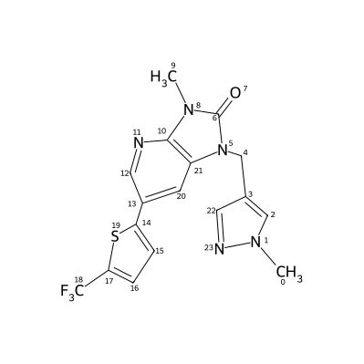 Cn1cc(Cn2c(=O)n(C)c3ncc(-c4ccc(C(F)(F)F)s4)cc32)cn1